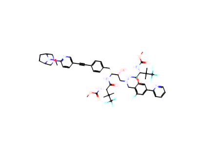 CCN1C2CCC1CN(c1ccc(C#Cc3ccc(C[C@H](NC(=O)[C@@H](NC(=O)OC)C(C)(C)C(F)(F)F)[C@@H](O)CN(Cc4c(F)cc(-c5ccccn5)cc4F)NC(=O)[C@@H](NC(=O)OC)C(C)(C)C(F)(F)F)cc3)cn1)C2